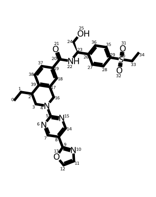 CCC1CN(c2ncc(-c3ncco3)cn2)Cc2cc(C(=O)N[C@@H](CO)c3ccc(S(=O)(=O)CC)cc3)ccc21